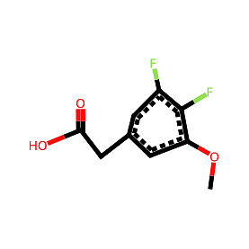 COc1cc(CC(=O)O)cc(F)c1F